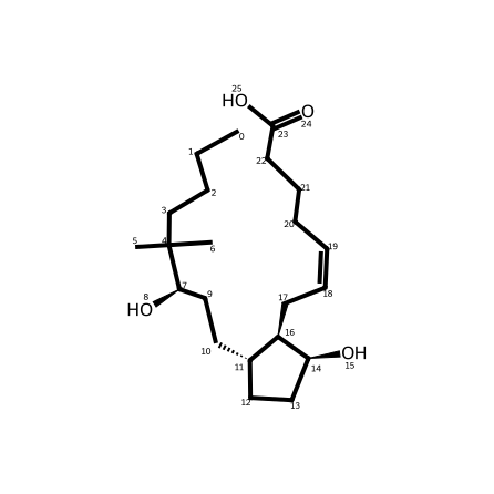 CCCCC(C)(C)[C@H](O)CC[C@H]1CC[C@H](O)[C@@H]1C/C=C\CCCC(=O)O